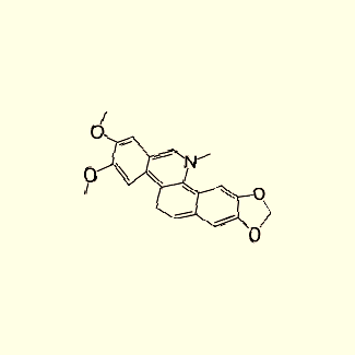 COc1cc2c(cc1OC)=C1CC=c3cc4c(cc3=C1N(C)C=2)OCO4